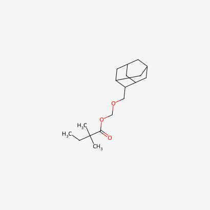 CCC(C)(C)C(=O)OCOCC1C2CC3CC(C2)CC1C3